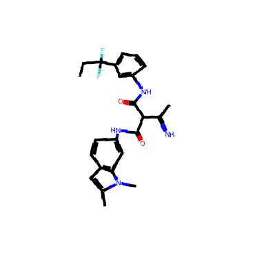 CCC(F)(F)c1cccc(NC(=O)C(C(C)=N)C(=O)Nc2ccc3cc(C)n(C)c3c2)c1